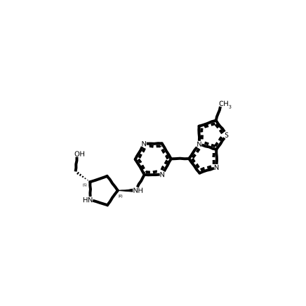 Cc1cn2c(-c3cncc(N[C@H]4CN[C@H](CO)C4)n3)cnc2s1